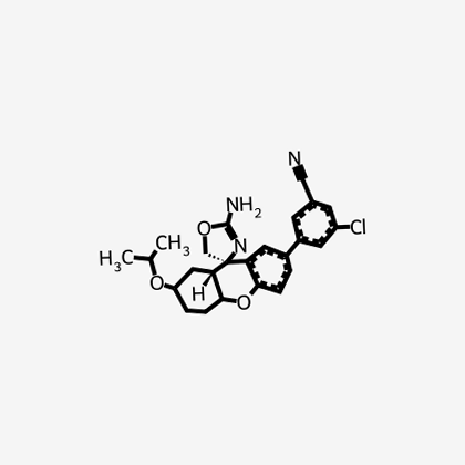 CC(C)OC1CCC2Oc3ccc(-c4cc(Cl)cc(C#N)c4)cc3[C@@]3(COC(N)=N3)[C@H]2C1